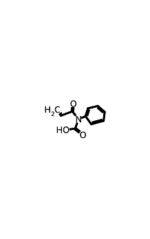 C=CC(=O)N(C(=O)O)c1ccccc1